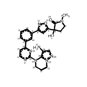 CN1CCC(O)(c2cc(-c3cccc(-c4ccnc(N5CCCn6ncc(N)c65)n4)c3)no2)C1=O